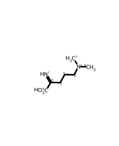 CN(C)CCCC(=N)C(=O)O